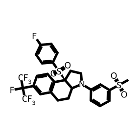 CS(=O)(=O)c1cccc(N2CC[C@@]3(S(=O)(=O)c4ccc(F)cc4)c4ccc(C(F)(C(F)(F)F)C(F)(F)F)cc4CCC23)c1